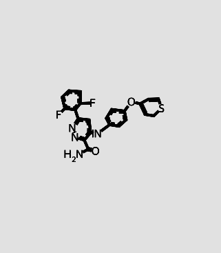 NC(=O)c1nnc(-c2c(F)cccc2F)cc1Nc1ccc(OC2=CCSC=C2)cc1